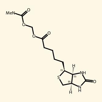 CNC(=O)OCOC(=O)CCCC[C@@H]1SC[C@@H]2NC(=O)N[C@@H]21